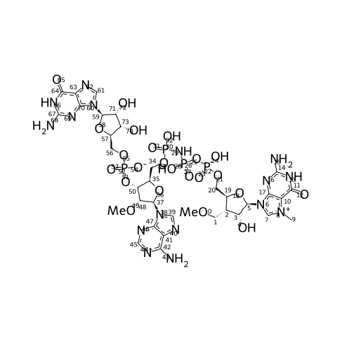 COC[C@H]1[C@@H](O)[C@H](n2c[n+](C)c3c(=O)[nH]c(N)nc32)O[C@@H]1COP(=O)(O)OP(=O)(O)NP(=O)(O)OC[C@H]1O[C@@H](n2cnc3c(N)ncnc32)[C@H](OC)[C@@H]1OP(=O)([O-])OC[C@H]1O[C@@H](n2cnc3c(=O)[nH]c(N)nc32)[C@H](O)[C@@H]1O